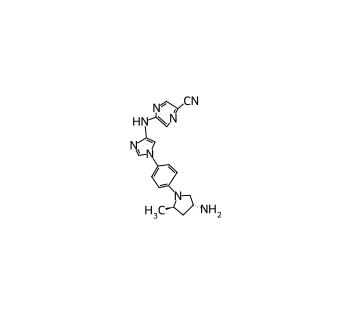 C[C@@H]1C[C@@H](N)CN1c1ccc(-n2cnc(Nc3cnc(C#N)cn3)c2)cc1